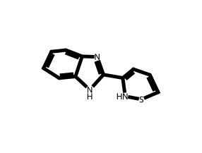 C1=CSNC(c2nc3ccccc3[nH]2)=C1